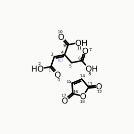 O=C(O)/C=C(\CC(=O)O)C(=O)O.O=C1C=CC(=O)O1